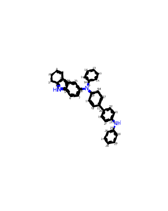 C1=Cc2c([nH]c3ccc(N(c4ccccc4)C4C=CC(c5ccc(Nc6ccccc6)cc5)=CC4)cc23)CC1